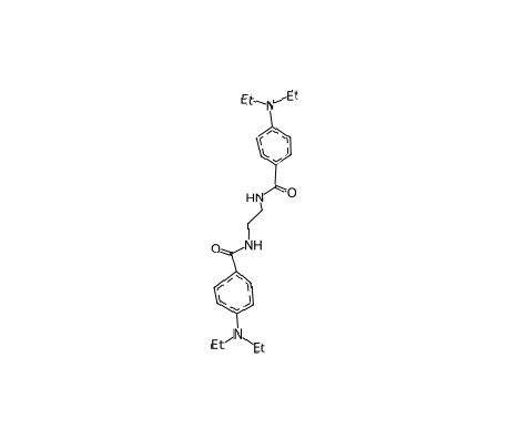 CCN(CC)c1ccc(C(=O)NCCNC(=O)c2ccc(N(CC)CC)cc2)cc1